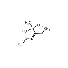 CCC(=NOC)[Si](C)(C)C